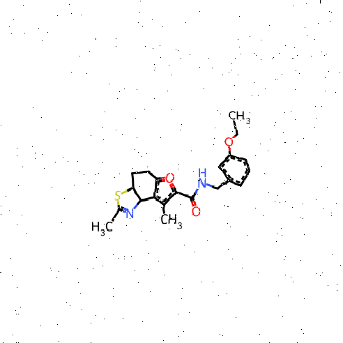 CCOc1cccc(CNC(=O)c2oc3c(c2C)C2N=C(C)SC2CC3)c1